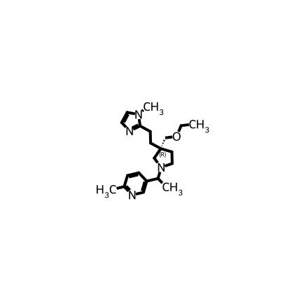 CCOC[C@]1(CCc2nccn2C)CCN(C(C)c2ccc(C)nc2)C1